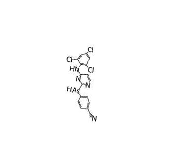 N#Cc1ccc([AsH]c2nccc(Nc3c(Cl)cc(Cl)cc3Cl)n2)cc1